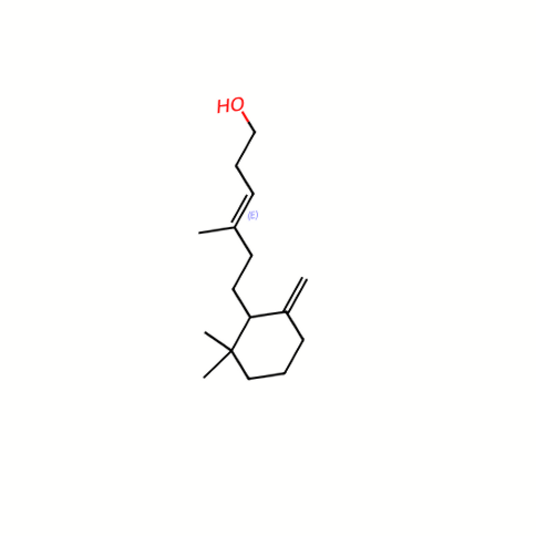 C=C1CCCC(C)(C)C1CC/C(C)=C/CCO